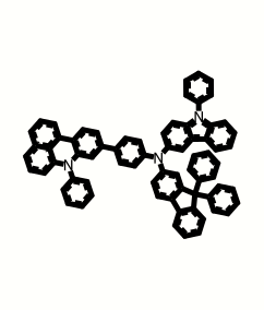 c1ccc(N2c3cc(-c4ccc(N(c5ccc6c(c5)C(c5ccccc5)(c5ccccc5)c5ccccc5-6)c5ccc6c(c5)c5ccccc5n6-c5ccccc5)cc4)ccc3-c3cccc4cccc2c34)cc1